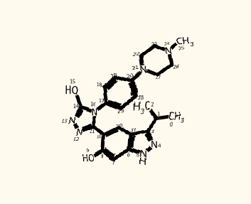 CC(C)c1n[nH]c2cc(O)c(-c3nnc(O)n3-c3ccc(N4CCN(C)CC4)cc3)cc12